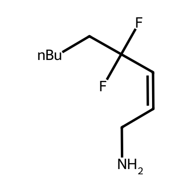 CCCCCC(F)(F)/C=C\CN